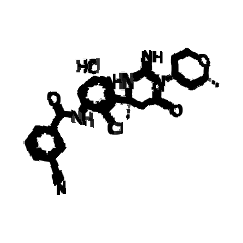 C[C@@H]1C[C@H](N2C(=N)N[C@](C)(c3cccc(NC(=O)c4cccc(C#N)c4)c3Cl)CC2=O)CCO1.Cl